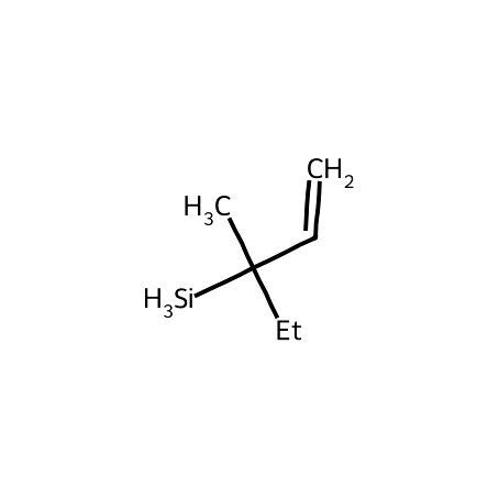 C=CC(C)([SiH3])CC